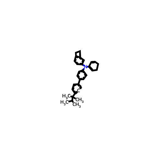 CC(C)C(C)(C)c1ccc(-c2ccc(N(C3=CCCC=C3)c3ccc4c(c3)CC4)cc2)cc1